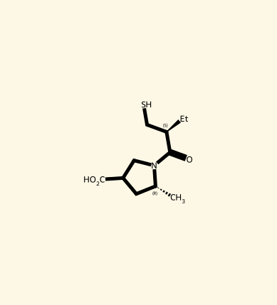 CC[C@H](CS)C(=O)N1CC(C(=O)O)C[C@H]1C